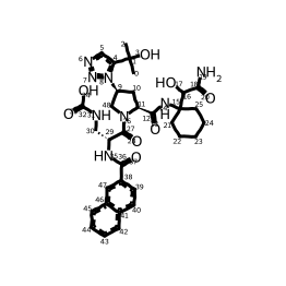 CC(C)(O)c1cnnn1[C@H]1C[C@@H](C(=O)NC2(C(O)C(N)=O)CCCCC2)N(C(=O)[C@@H](CNC(=O)O)NC(=O)c2ccc3ccccc3c2)C1